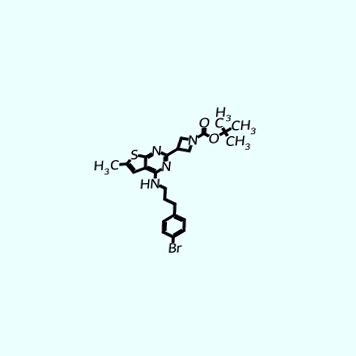 Cc1cc2c(NCCCc3ccc(Br)cc3)nc(C3CN(C(=O)OC(C)(C)C)C3)nc2s1